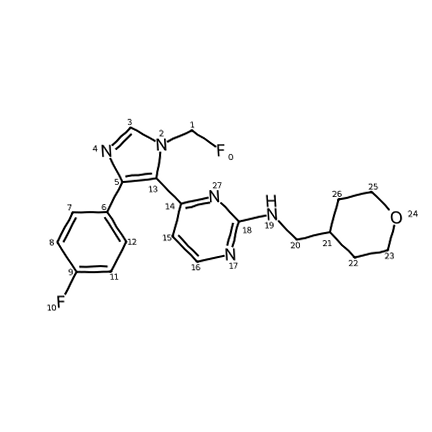 FCn1cnc(-c2ccc(F)cc2)c1-c1ccnc(NCC2CCOCC2)n1